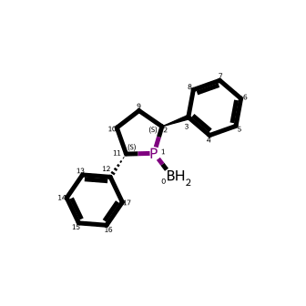 BP1[C@H](c2ccccc2)CC[C@H]1c1ccccc1